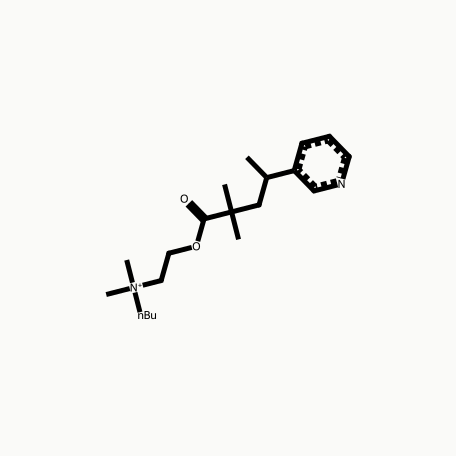 CCCC[N+](C)(C)CCOC(=O)C(C)(C)CC(C)c1cccnc1